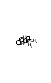 C=C1CC[C@H]2[C@@H]3CCC4CCCC[C@]4(C)[C@H]3CC[C@]12C